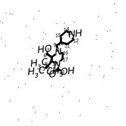 CC(C)(C)C1C(CO)N(CC2CCNCC2)CCN1C(=O)O